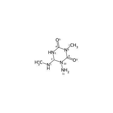 CNC1NC(=O)N(C)C(=O)N1N